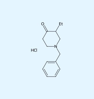 CCC1CN(Cc2ccccc2)CCC1=O.Cl